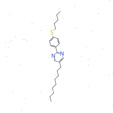 CCCCCCCCCc1cnc(-c2ccc(SCCCCC)cc2)nc1